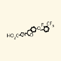 O=C(O)C1CN(C2COc3cc(OCc4cccc(C(F)(F)F)c4F)ccc3C2)C1